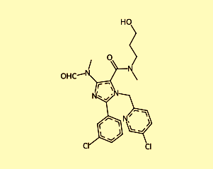 CN(CCCO)C(=O)c1c(N(C)C=O)nc(-c2cccc(Cl)c2)n1Cc1ccc(Cl)cn1